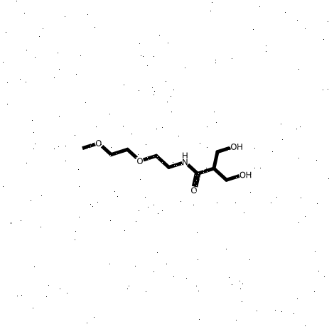 COCCOCCNC(=O)C(CO)CO